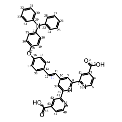 O=C(O)c1ccnc(-c2cc(/C=C/c3ccc(Oc4ccc(N(c5ccccc5)c5ccccc5)cc4)cc3)cc(-c3cc(C(=O)O)ccn3)n2)c1